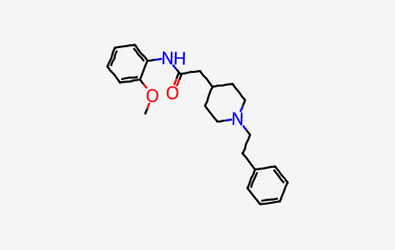 COc1ccccc1NC(=O)CC1CCN(CCc2ccccc2)CC1